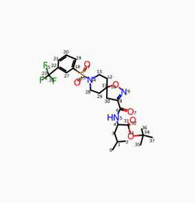 CC(C)CC(NC(=O)C1=NOC2(CCN(S(=O)(=O)c3cccc(C(F)(F)F)c3)CC2)C1)C(=O)OC(C)(C)C